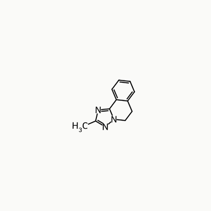 Cc1nc2n(n1)CCc1ccccc1-2